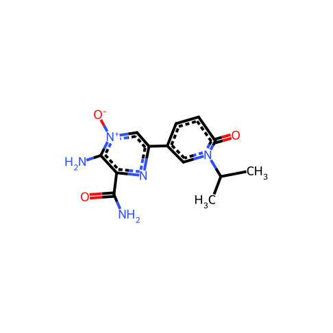 CC(C)n1cc(-c2c[n+]([O-])c(N)c(C(N)=O)n2)ccc1=O